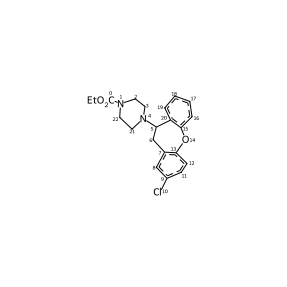 CCOC(=O)N1CCN(C2Cc3cc(Cl)ccc3Oc3ccccc32)CC1